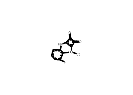 CCOc1c(Nc2cccc(F)c2C)c(=O)c1=O